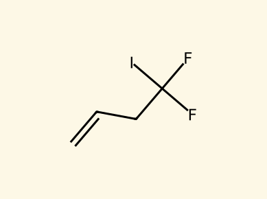 C=CCC(F)(F)I